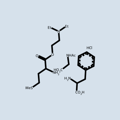 CC(=O)NCC(=O)O.CCN(CC)CCOC(=O)C(N)CCSC.Cl.NC(Cc1ccccc1)C(=O)O